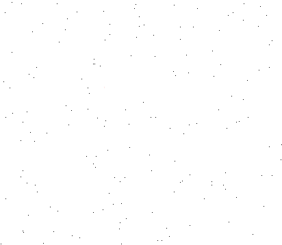 CCC(=O)Oc1ccc(C2CCCC2)cc1